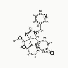 COC(=O)C1(c2ccccc2)N=CN(Cc2cccnc2)C1c1ccc(Cl)cc1